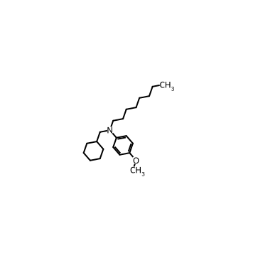 CCCCCCCCN(CC1CCCCC1)c1ccc(OC)cc1